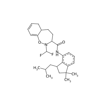 CC(C)CC1CC(C)(C)c2cccc(NC(=O)C3CCC4CC=CC=C4ON3C(F)F)c21